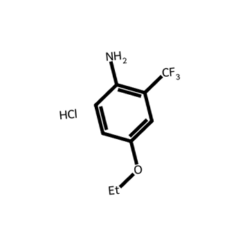 CCOc1ccc(N)c(C(F)(F)F)c1.Cl